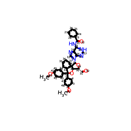 COc1ccc(C(O[C@H]2C[C@H](n3cnc4c3N=CNC4NC(=O)c3ccccc3)O[C@@H]2C=O)(c2ccccc2)c2ccc(OC)cc2)cc1